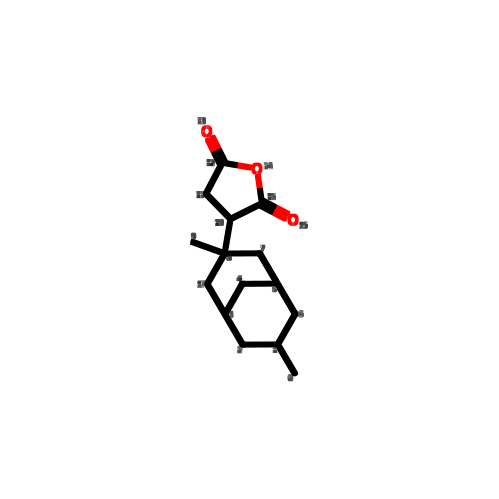 CC1CC2CC(C1)CC(C)(C1CC(=O)OC1=O)C2